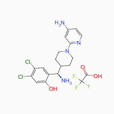 Nc1ccnc(N2CCC([C@@H](N)c3cc(Cl)c(Cl)cc3O)CC2)c1.O=C(O)C(F)(F)F